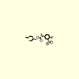 C=C/C=C\C(=C/C)COC(=O)N(C)c1ccc(F)c([N+](=O)[O-])c1